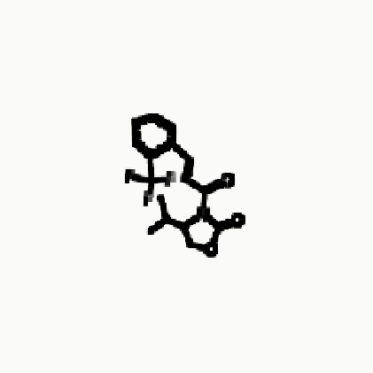 CC(C)C1COC(=O)N1C(=O)/C=C/c1ccccc1C(F)(F)F